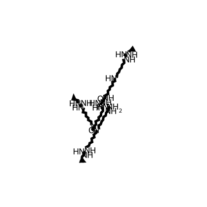 N=C(N)NCCCCCCCCN(CCCCCCCCNC(=N)NCC1CC1)C(=O)N(CCCCCCCCNC(=N)NCC1CC1)CCCCCCCCNC(=N)NC(=O)NCCCCCCCCNCCCCCCCCNC(=N)NCC1CC1